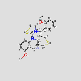 COc1ccccc1/C=C1/CSCC2=C1N=C1SCCN1C2c1ccccc1OC